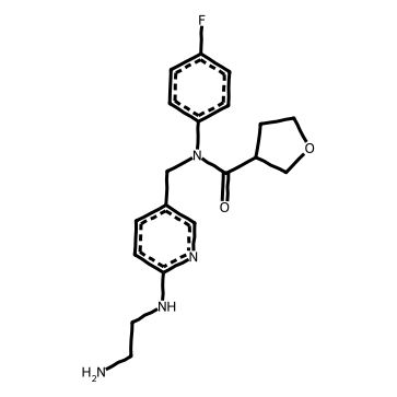 NCCNc1ccc(CN(C(=O)C2CCOC2)c2ccc(F)cc2)cn1